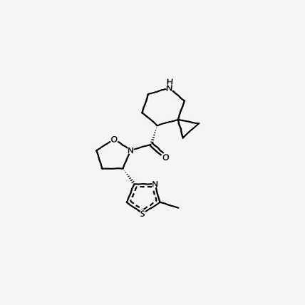 Cc1nc([C@@H]2CCON2C(=O)[C@@H]2CCNCC23CC3)cs1